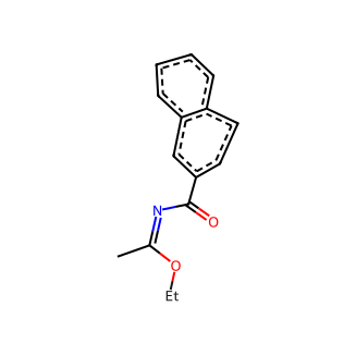 CCOC(C)=NC(=O)c1ccc2ccccc2c1